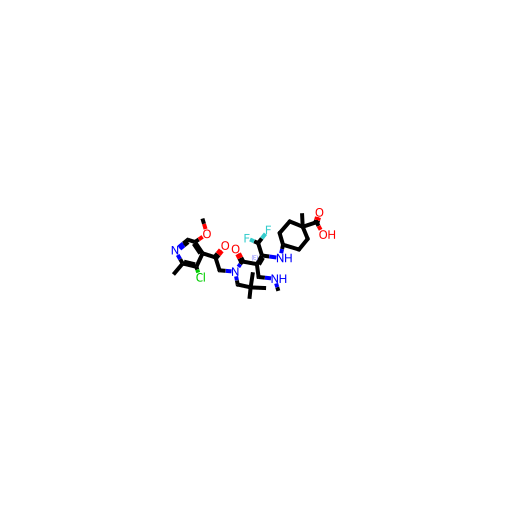 CNC/C(C(=O)N(CC(=O)c1c(OC)cnc(C)c1Cl)CC(C)(C)C)=C(\NC1CCC(C)(C(=O)O)CC1)C(F)F